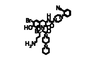 N#Cc1ccccc1N1CCN(C(=O)N[C@H](Cc2cc(Br)c(O)c(Br)c2)C(=O)N[C@@H](CCCCN)C(=O)N2CCC(N3CCCCC3)CC2)CC1